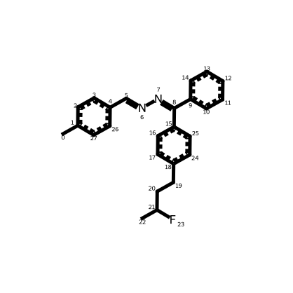 Cc1ccc(C=NN=C(c2ccccc2)c2ccc(CCC(C)F)cc2)cc1